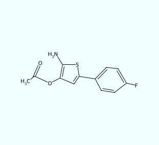 CC(=O)Oc1cc(-c2ccc(F)cc2)sc1N